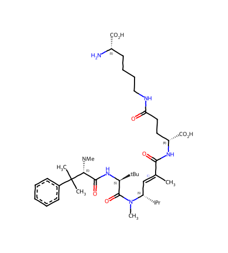 CN[C@H](C(=O)N[C@H](C(=O)N(C)[C@H](/C=C(\C)C(=O)N[C@H](CCC(=O)NCCCC[C@H](N)C(=O)O)C(=O)O)C(C)C)C(C)(C)C)C(C)(C)c1ccccc1